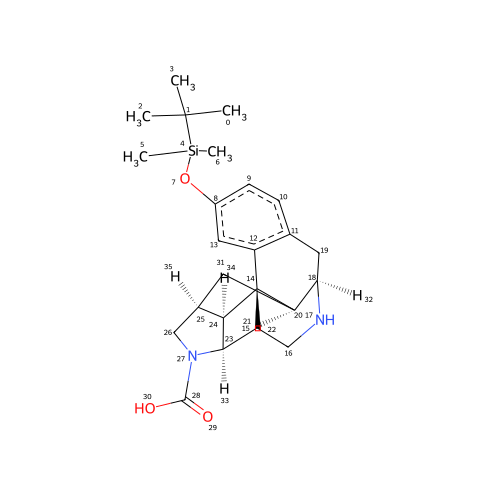 CC(C)(C)[Si](C)(C)Oc1ccc2c(c1)[C@]13CCN[C@H](C2)[C@]12CC[C@@H]1[C@H]3[C@@H](CN1C(=O)O)C2